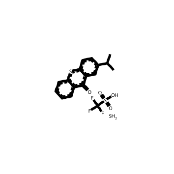 CC(C)c1ccc2sc3ccccc3c(=O)c2c1.O=S(=O)(O)C(F)(F)F.S